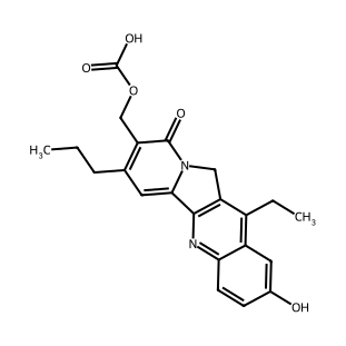 CCCc1cc2n(c(=O)c1COC(=O)O)Cc1c-2nc2ccc(O)cc2c1CC